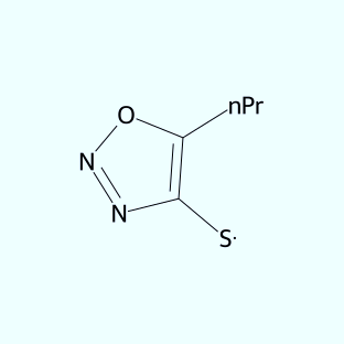 CCCc1onnc1[S]